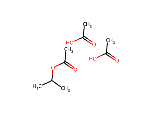 CC(=O)O.CC(=O)O.CC(=O)OC(C)C